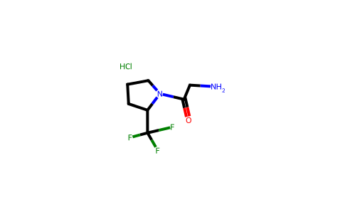 Cl.NCC(=O)N1CCCC1C(F)(F)F